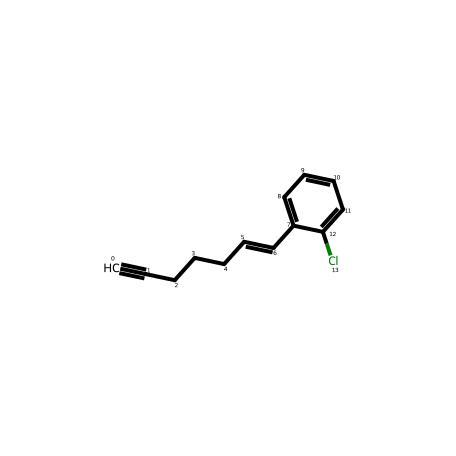 C#CCCC/C=C/c1ccccc1Cl